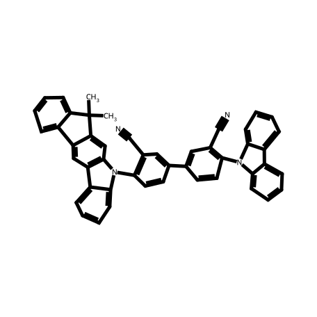 CC1(C)c2ccccc2-c2cc3c4ccccc4n(-c4ccc(-c5ccc(-n6c7ccccc7c7ccccc76)c(C#N)c5)cc4C#N)c3cc21